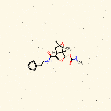 CNC(=O)O[C@@H]1OC=C(C(=O)NCCc2ccccc2)[C@H]2C[C@@H]3O[C@]3(C)[C@H]12